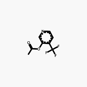 CC(=O)Oc1cnccc1C(F)(F)F